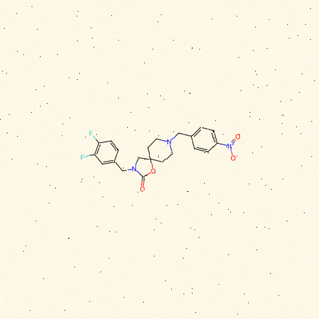 O=C1OC2(CCN(Cc3ccc([N+](=O)[O-])cc3)CC2)CN1Cc1ccc(F)c(F)c1